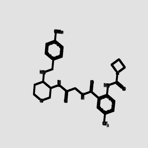 COc1ccc(CNC2CCOCC2NC(=O)CNC(=O)c2cc(C(F)(F)F)ccc2NC(=O)N2CCC2)cc1